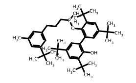 Cc1cc(CCCP(C)Oc2c(-c3cc(C(C)(C)C)cc(C(C)(C)C)c3O)cc(C(C)(C)C)cc2C(C)(C)C)cc(C(C)(C)C)c1